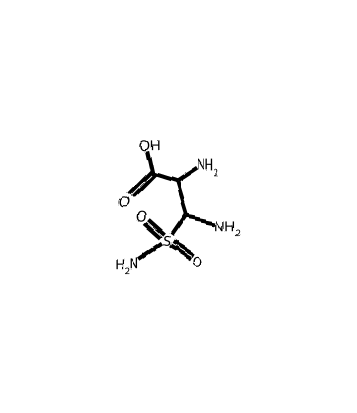 NC(C(=O)O)C(N)S(N)(=O)=O